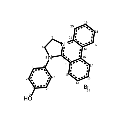 Oc1ccc(N2CC[n+]3c2c2ccccc2c2ccccc23)cc1.[Br-]